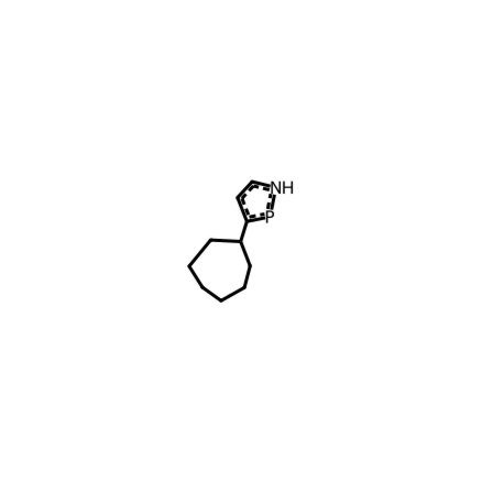 c1cc(C2CCCCCC2)p[nH]1